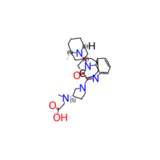 CN(CC(=O)O)[C@H]1CCN(c2nc3ccccc3n([C@@H]3C[C@@H]4CCC[C@](C)(C3)N4C3CCCCCCC3)c2=O)C1